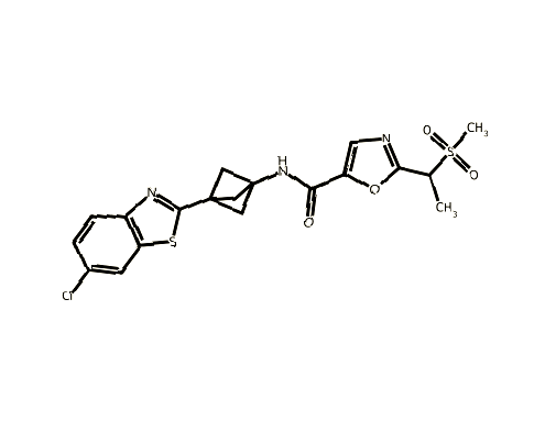 CC(c1ncc(C(=O)NC23CC(c4nc5ccc(Cl)cc5s4)(C2)C3)o1)S(C)(=O)=O